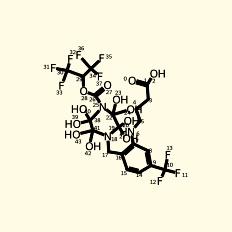 O=C(O)CCCNc1cc(C(F)(F)F)ccc1CN1C(O)(O)C(O)(O)N(C(=O)OC(C(F)(F)F)C(F)(F)F)C(O)(O)C1(O)O